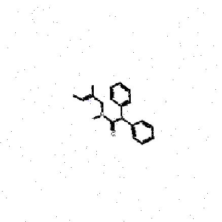 C/C=C(\C)CN(C)C(=O)C(c1ccccc1)c1ccccc1